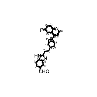 O=Cc1ccc2[nH]c(CCC3CC4CC3CC4c3ccnc4ccc(F)cc34)nc2c1